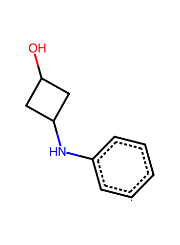 OC1CC(Nc2c[c]ccc2)C1